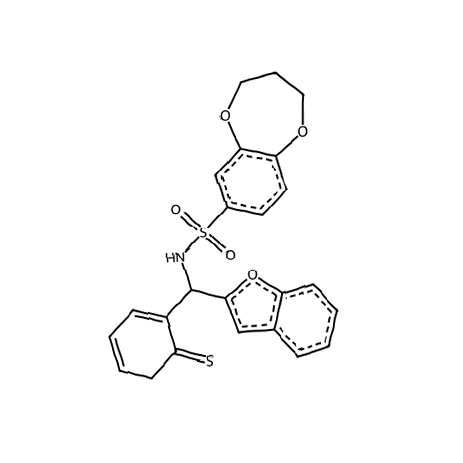 O=S(=O)(NC(C1=CC=CCC1=S)c1cc2ccccc2o1)c1ccc2c(c1)OCCCO2